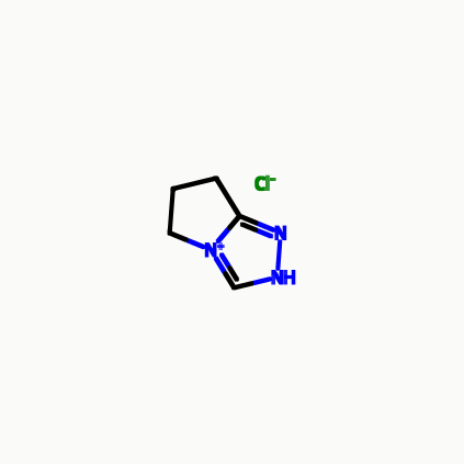 [Cl-].c1[nH]nc2[n+]1CCC2